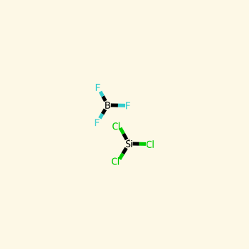 Cl[Si](Cl)Cl.FB(F)F